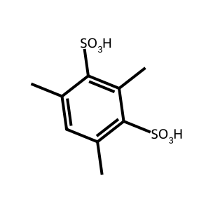 Cc1cc(C)c(S(=O)(=O)O)c(C)c1S(=O)(=O)O